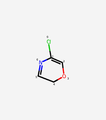 ClC1=COCC=N1